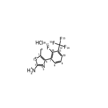 Cc1sc(N)nc1-c1cccc(C(F)(F)F)c1F.Cl